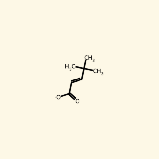 CC(C)(C)C=CC([O])=O